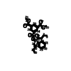 CCCC[PH](CCCC)(OS(=O)(=O)c1cc(C(=O)OC)cc(C(=O)OC)c1)c1ccccc1